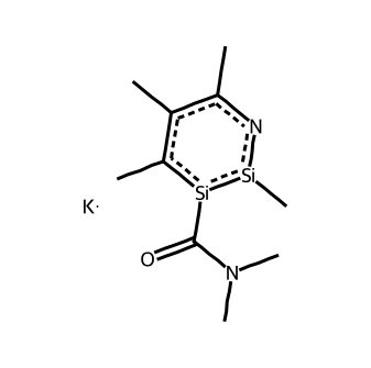 Cc1n[si](C)[si](C(=O)N(C)C)c(C)c1C.[K]